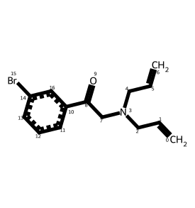 C=CCN(CC=C)CC(=O)c1cccc(Br)c1